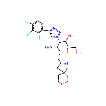 CO[C@@H]1[C@@H](n2cc(-c3ccc(F)c(F)c3F)nn2)[C@@H](O)[C@@H](CO)O[C@@H]1CC1=NOC2(CCOCC2)C1